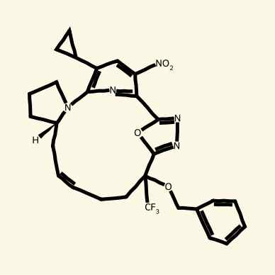 O=[N+]([O-])c1cc(C2CC2)c2nc1-c1nnc(o1)C(OCc1ccccc1)(C(F)(F)F)CCC=CC[C@@H]1CCCN21